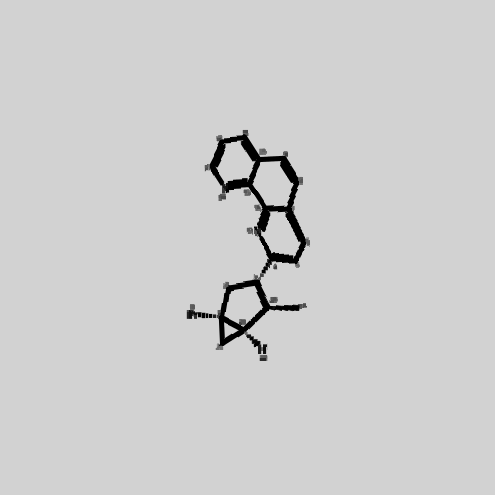 CC(C)[C@]12C[C@H](c3ccc4ccc5cccnc5c4n3)[C@@H](C)[C@H]1C2